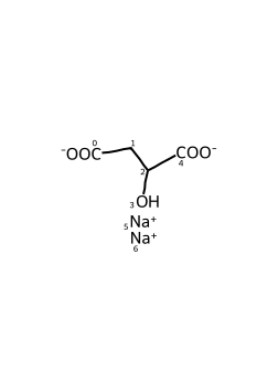 O=C([O-])CC(O)C(=O)[O-].[Na+].[Na+]